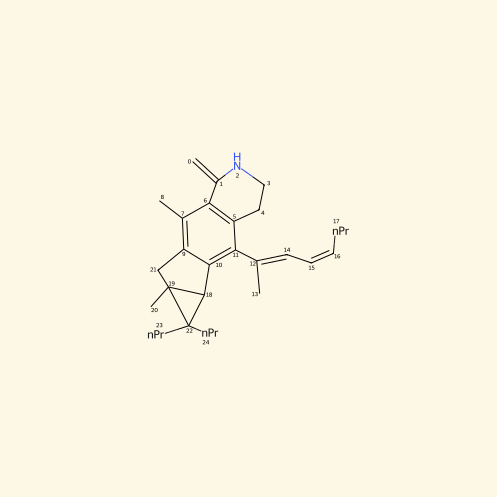 C=C1NCCc2c1c(C)c1c(c2/C(C)=C/C=C\CCC)C2C(C)(C1)C2(CCC)CCC